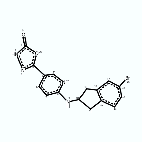 O=c1[nH]nc(-c2ccc(NC3Cc4ccc(Br)cc4C3)nc2)o1